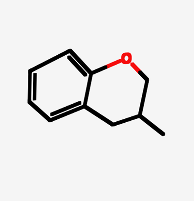 CC1COc2ccccc2C1